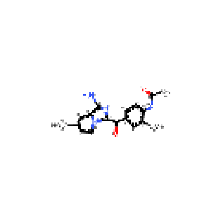 COc1cc(C(=O)c2nc(N)c3cc(C(=O)O)ccn23)ccc1NC(=O)C(F)(F)F